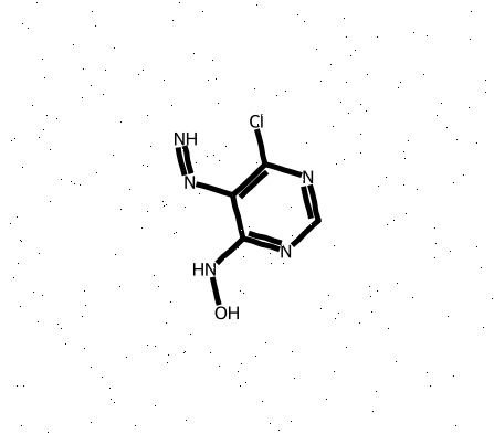 N=Nc1c(Cl)ncnc1NO